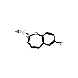 O=C(O)[C@@H]1CC=Cc2cc(Cl)ccc2O1